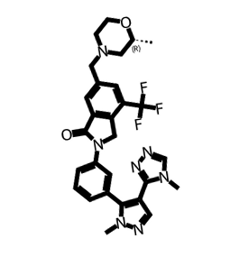 C[C@@H]1CN(Cc2cc3c(c(C(F)(F)F)c2)CN(c2cccc(-c4c(-c5nncn5C)cnn4C)c2)C3=O)CCO1